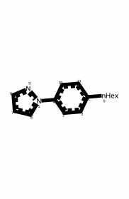 CCCCCCc1ccc(-n2[c]ccn2)cc1